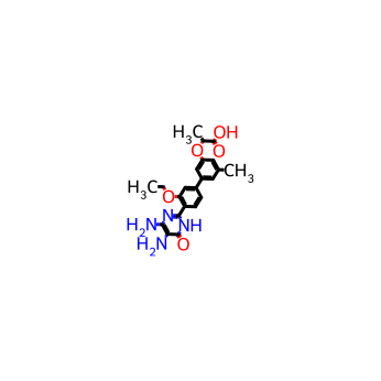 CCOc1cc(-c2cc(C)cc(OC(C)C(=O)O)c2)ccc1-c1nc(N)c(N)c(=O)[nH]1